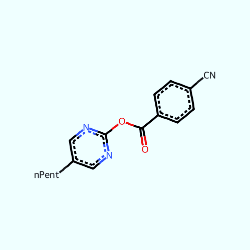 CCCCCc1cnc(OC(=O)c2ccc(C#N)cc2)nc1